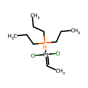 C[CH]=[Pt]([Cl])([Cl])[PH](CCC)(CCC)CCC